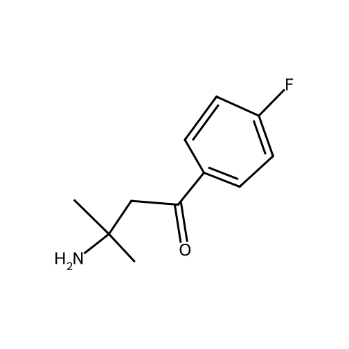 CC(C)(N)CC(=O)c1ccc(F)cc1